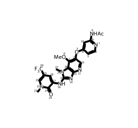 COc1c(Oc2ccnc(NC(C)=O)c2)cnc2nc(Nc3cc(C(F)(F)F)cn(C)c3=O)n(C)c12